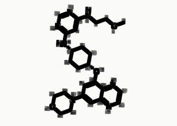 COCCNc1cc(N[C@H]2CC[C@@H](Oc3cc(N4CCOCC4)cc4nccnc34)CC2)ncn1